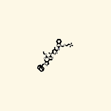 CCOC(=O)[SH]1C(c2cnn(CC34CC5CC(CC(C5)C3)C4)c2C)=CN=C1N(C)c1cc(C)c(/N=c2\sc3ccccc3n2COCC[Si](C)(C)C)nn1